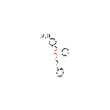 COc1ccc(COCCCCc2c[c]ccc2)cc1.[c]1ccccc1